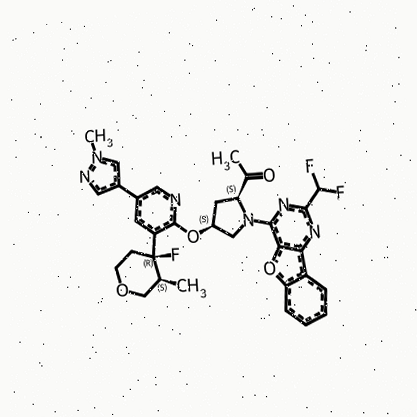 CC(=O)[C@@H]1C[C@H](Oc2ncc(-c3cnn(C)c3)cc2[C@@]2(F)CCOC[C@@H]2C)CN1c1nc(C(F)F)nc2c1oc1ccccc12